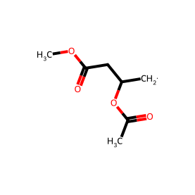 [CH2]C(CC(=O)OC)OC(C)=O